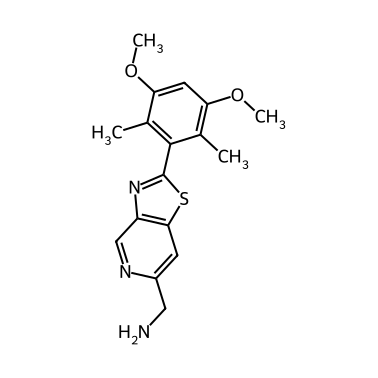 COc1cc(OC)c(C)c(-c2nc3cnc(CN)cc3s2)c1C